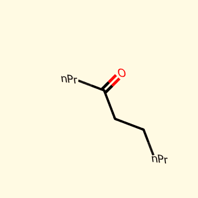 C[CH]CC(=O)CCCCC